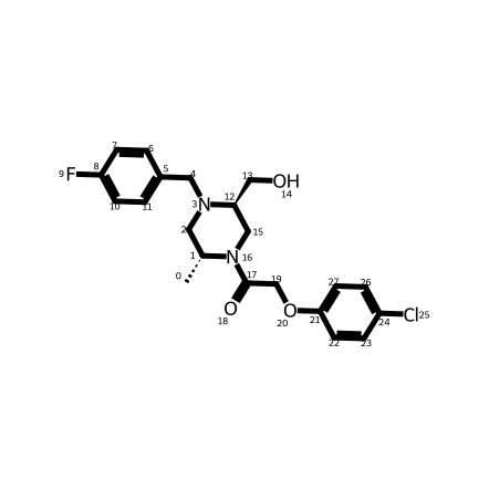 C[C@@H]1CN(Cc2ccc(F)cc2)[C@@H](CO)CN1C(=O)COc1ccc(Cl)cc1